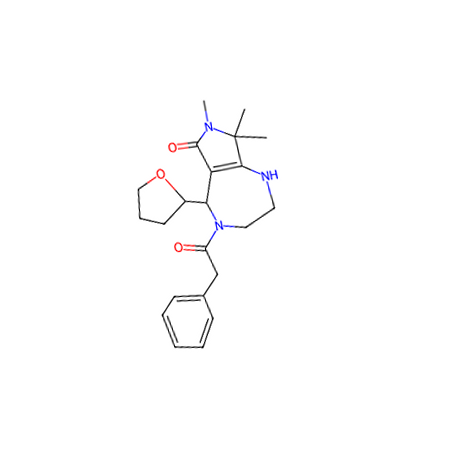 CN1C(=O)C2=C(NCCN(C(=O)Cc3ccccc3)C2C2CCCO2)C1(C)C